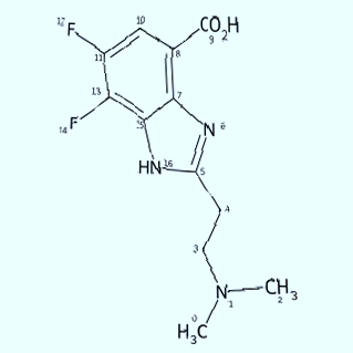 CN(C)CCc1nc2c(C(=O)O)cc(F)c(F)c2[nH]1